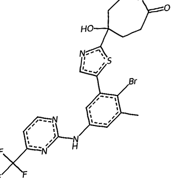 Cc1cc(Nc2nccc(C(F)(F)F)n2)cc(-c2cnc(C3(O)CCNC(=O)CC3)s2)c1Br